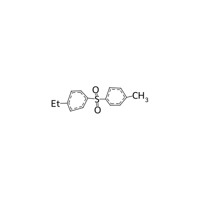 CCc1ccc(S(=O)(=O)c2ccc(C)cc2)cc1